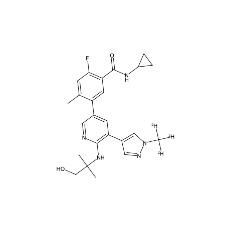 [2H]C([2H])([2H])n1cc(-c2cc(-c3cc(C(=O)NC4CC4)c(F)cc3C)cnc2NC(C)(C)CO)cn1